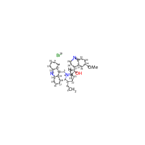 C=CC1C[N+]2(Cc3c4ccccc4nc4ccccc34)CCC1C[C@H]2[C@H](O)c1ccnc2ccc(OC)cc12.[Br-]